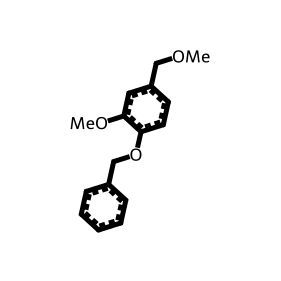 COCc1ccc(OCc2ccccc2)c(OC)c1